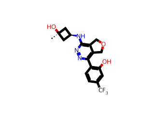 C[C@]1(O)C[C@@H](Nc2nnc(-c3ccc(C(F)(F)F)cc3O)c3c2COC3)C1